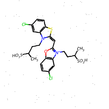 CC(CCN1C(=Cc2oc3ccc(Cl)cc3[n+]2CCC(C)S(=O)(=O)O)Sc2ccc(Cl)cc21)S(=O)(=O)O